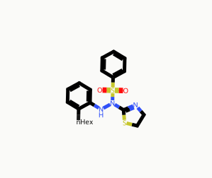 CCCCCCc1ccccc1NN(C1=NCCS1)S(=O)(=O)c1ccccc1